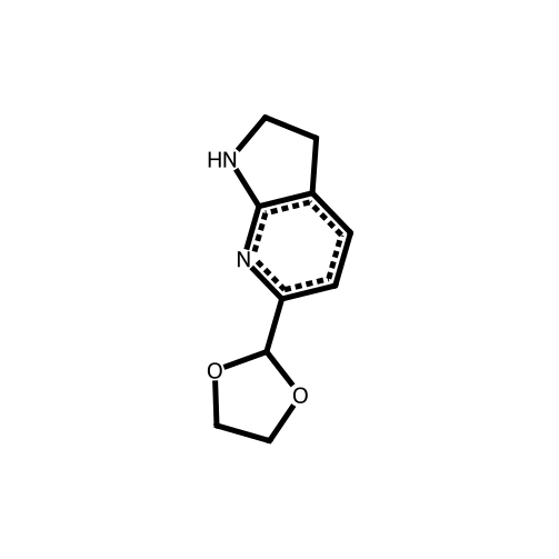 c1cc2c(nc1C1OCCO1)NCC2